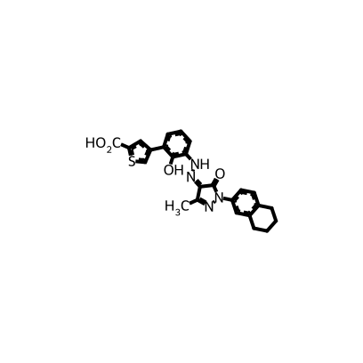 CC1=NN(c2ccc3c(c2)CCCC3)C(=O)C1=NNc1cccc(-c2csc(C(=O)O)c2)c1O